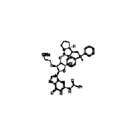 CC[C@H]1O[C@@H](n2cnc3c(=O)[nH]c(NC(=O)C(C)C)nc32)[C@@H](OCCOC)C1O[P@@]1O[C@H](C[Si](C)(c2ccccc2)c2ccccc2)[C@@H]2CCCN21